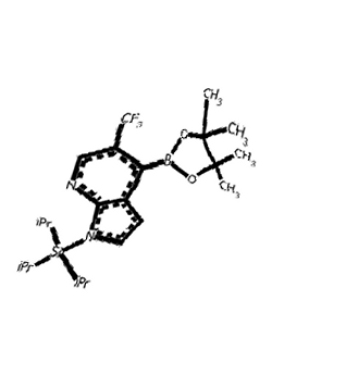 CC(C)[Si](C(C)C)(C(C)C)n1ccc2c(B3OC(C)(C)C(C)(C)O3)c(C(F)(F)F)cnc21